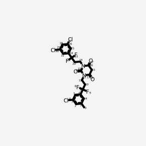 Cc1cc(Cl)cc(C(F)(F)CCN2C(=O)CC(=O)N(CCC(F)(F)c3cc(Cl)cc(Cl)c3)C2=O)c1